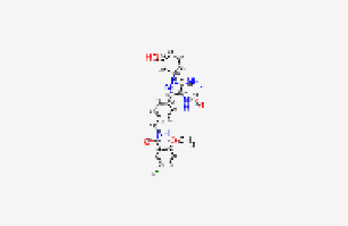 COc1ccc(F)cc1C(=O)NCc1ccc(-c2nn(C3CCCC(O)C3)c(N)c2NC=O)cc1